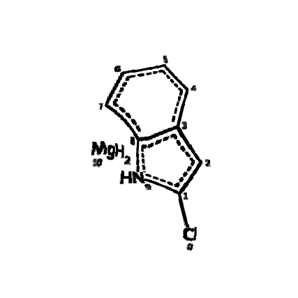 Clc1cc2ccccc2[nH]1.[MgH2]